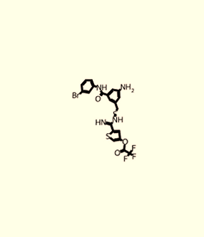 N=C(NSCc1cc(N)cc(C(=O)Nc2cccc(Br)c2)c1)c1cc(OC(=O)C(F)(F)F)cs1